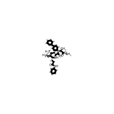 COC(=O)[C@@H](CCC(=O)Nc1ccccc1)N[C@@H](CC(C)C)C(=O)N(c1ccc(-c2ccccc2)cc1)[C@@H](C)C(=O)OC